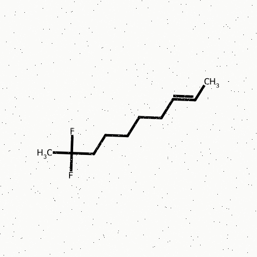 CC=CCCCCCC(C)(F)F